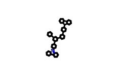 c1ccc(-c2cc(-c3ccc(-n4c5ccccc5c5ccccc54)cc3)cc(-c3cccc(-c4ccc(C5c6ccccc6-c6ccccc65)cc4)c3)c2)cc1